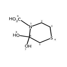 O=C(O)N1CCSCC1(O)O